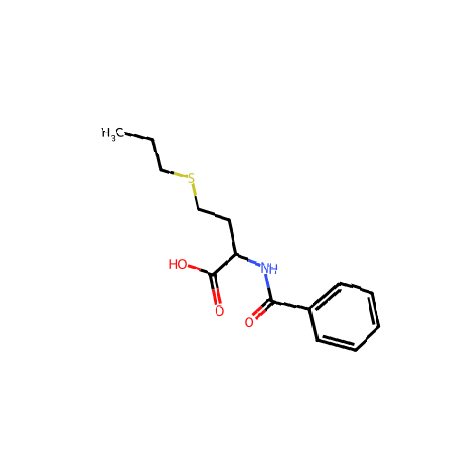 CCCSCCC(NC(=O)c1ccccc1)C(=O)O